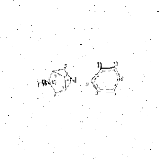 c1ccc(N2CC3CC2CN3)cc1